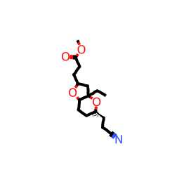 CCC12CC(CCC(=O)OC)OC1CC[C@H](CCC#N)O2